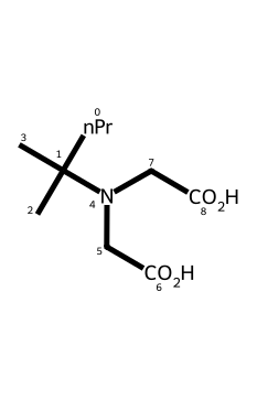 CCCC(C)(C)N(CC(=O)O)CC(=O)O